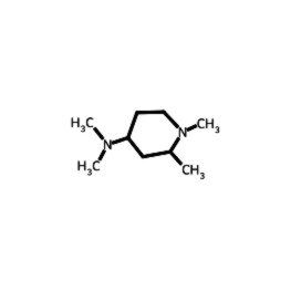 CC1CC(N(C)C)CCN1C